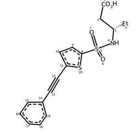 CC[C@@H](CC(=O)O)NS(=O)(=O)c1ccc(C#Cc2ccccc2)s1